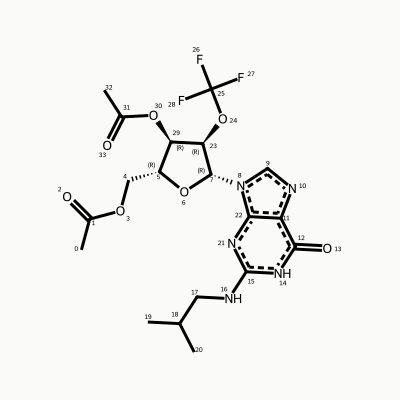 CC(=O)OC[C@H]1O[C@@H](n2cnc3c(=O)[nH]c(NCC(C)C)nc32)[C@H](OC(F)(F)F)[C@@H]1OC(C)=O